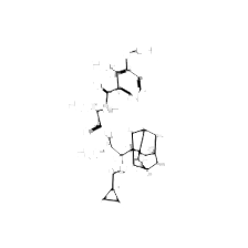 COc1ccnc(C(=O)N[C@@H](C)C(=O)O[C@@H](C)[C@H](OCC2CC2)C23CC4CC(CC(C4)C2)C3)c1O